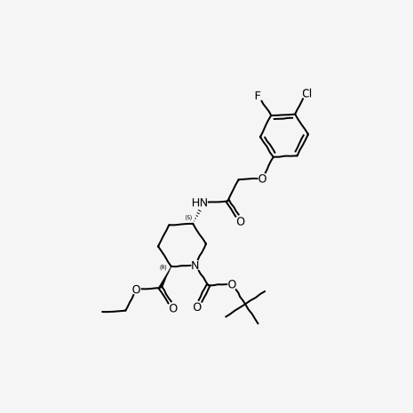 CCOC(=O)[C@H]1CC[C@H](NC(=O)COc2ccc(Cl)c(F)c2)CN1C(=O)OC(C)(C)C